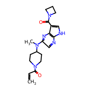 C=CC(=O)N1CCC(N(C)c2cnc3[nH]cc(C(=O)N4CCC4)c3n2)CC1